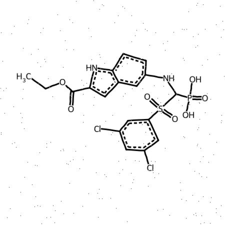 CCOC(=O)c1cc2cc(NC(P(=O)(O)O)S(=O)(=O)c3cc(Cl)cc(Cl)c3)ccc2[nH]1